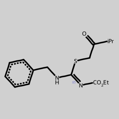 CCOC(=O)/N=C(/NCc1ccccc1)SCC(=O)C(C)C